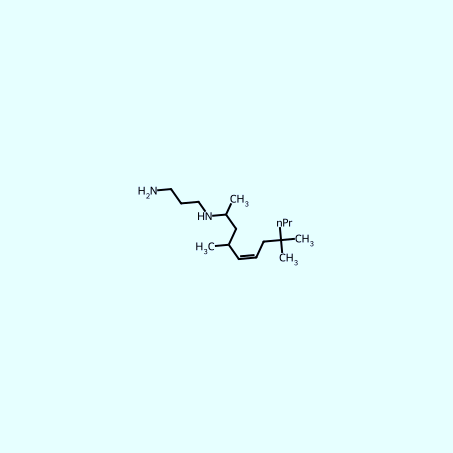 CCCC(C)(C)C/C=C\C(C)CC(C)NCCCN